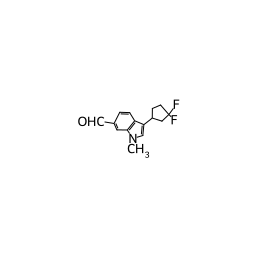 Cn1cc(C2CCC(F)(F)C2)c2ccc(C=O)cc21